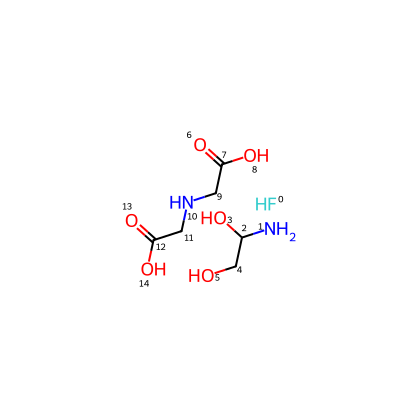 F.NC(O)CO.O=C(O)CNCC(=O)O